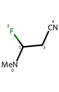 CNC(F)CC#N